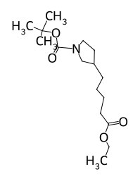 CCOC(=O)CCCCC1CCN(C(=O)OC(C)(C)C)C1